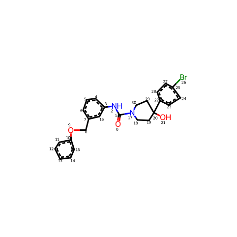 O=C(Nc1cccc(COc2ccccc2)c1)N1CCC(O)(c2ccc(Br)cc2)CC1